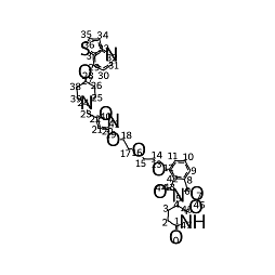 O=C1CCC(N2C(=O)c3cccc(OCCOCCOc4cc(CN5CCC(Oc6ccnc7ccsc67)CC5)on4)c3C2=O)C(=O)N1